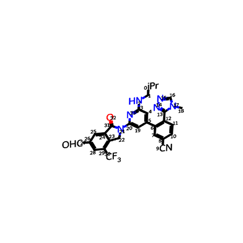 CC(C)CNc1cc(-c2cc(C#N)ccc2-c2nncn2C)cc(N2Cc3c(cc(C=O)cc3C(F)(F)F)C2=O)n1